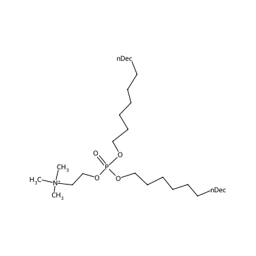 CCCCCCCCCCCCCCCCOP(=O)(OCCCCCCCCCCCCCCCC)OCC[N+](C)(C)C